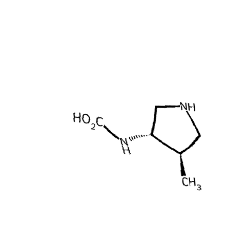 C[C@@H]1CNC[C@H]1NC(=O)O